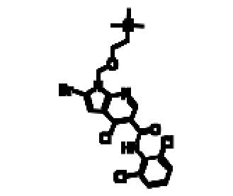 C[Si](C)(C)CCOCn1c(Br)cc2c(Cl)c(C(=O)Nc3c(Cl)cccc3Cl)cnc21